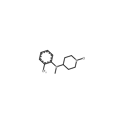 CN(c1ccccc1C(F)(F)F)C1CCN(Cl)CC1